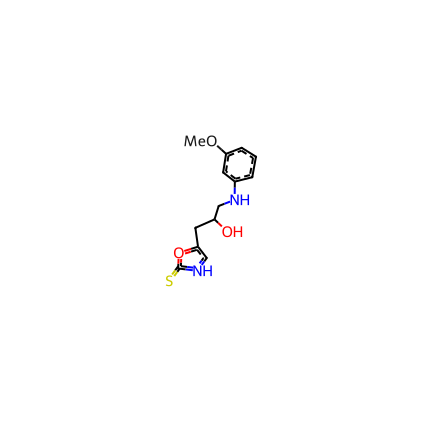 COc1cccc(NCC(O)Cc2c[nH]c(=S)o2)c1